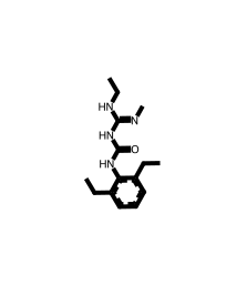 CCNC(=NC)NC(=O)Nc1c(CC)cccc1CC